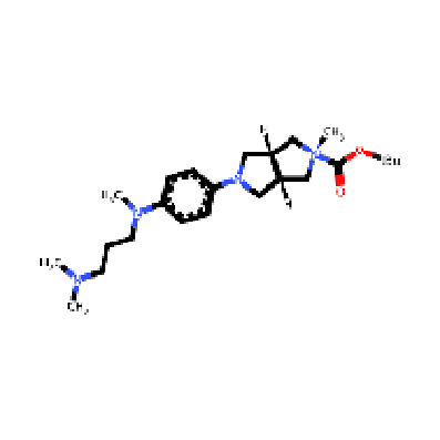 CN(C)CCCN(C)c1ccc(N2C[C@@H]3C[N@+](C)(C(=O)OC(C)(C)C)C[C@@H]3C2)cc1